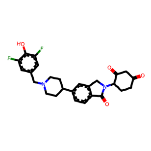 O=C1CCC(N2Cc3cc(C4CCN(Cc5cc(F)c(O)c(F)c5)CC4)ccc3C2=O)C(=O)C1